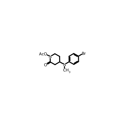 CC(=O)ON1CCC(N(C)c2ccc(Br)cc2)CC1=O